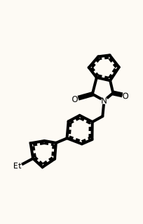 CCc1ccc(-c2ccc(CN3C(=O)c4ccccc4C3=O)cc2)cc1